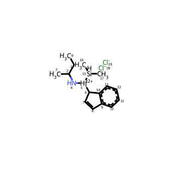 CCC(C)[NH][Hf+2]([CH]1C=Cc2ccccc21)[SiH](C)C.[Cl-].[Cl-]